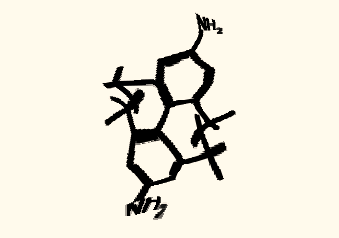 CC(C)(C)c1cc(N)cc(C(C)(C)C)c1-c1c(C(C)(C)C)cc(N)cc1C(C)(C)C